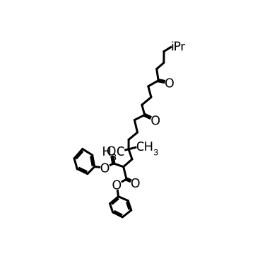 CC(C)CCCC(=O)CCCC(=O)CCCC(C)(C)CC(C(=O)Oc1ccccc1)C(=O)Oc1ccccc1